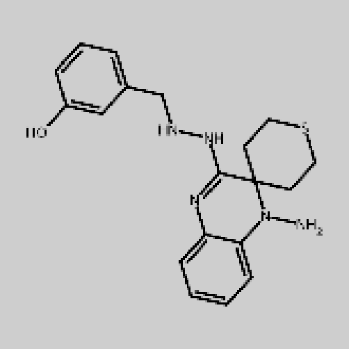 NN1c2ccccc2N=C(NNCc2cccc(O)c2)C12CCSCC2